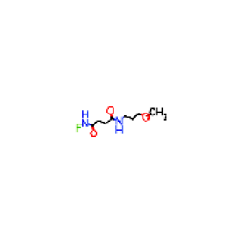 COCCCNC(=O)CCC(=O)NF